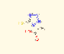 CC(=O)O.Sc1nnn[nH]1